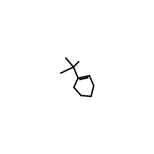 CC(C)(C)C1=[C]CCCC1